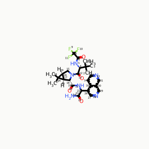 CC(C)(C)[C@H](NC(=O)C(F)(F)F)C(=O)N1C[C@H]2[C@@H]([C@H]1C(=O)NC(C(N)=O)c1cncc3cnccc13)C2(C)C